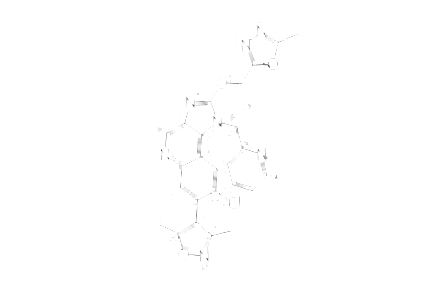 Cc1nnc(COc2nc3cnc4cc(-c5c(C)noc5C)c(Cl)cc4c3n2[C@H](C)c2ccccn2)o1